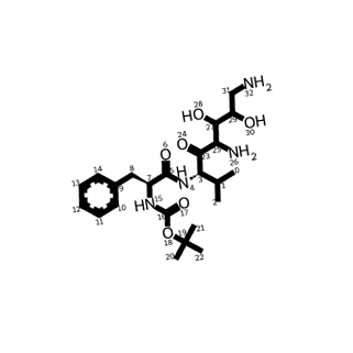 CC(C)[C@H](NC(=O)[C@H](Cc1ccccc1)NC(=O)OC(C)(C)C)C(=O)C(N)C(O)C(O)CN